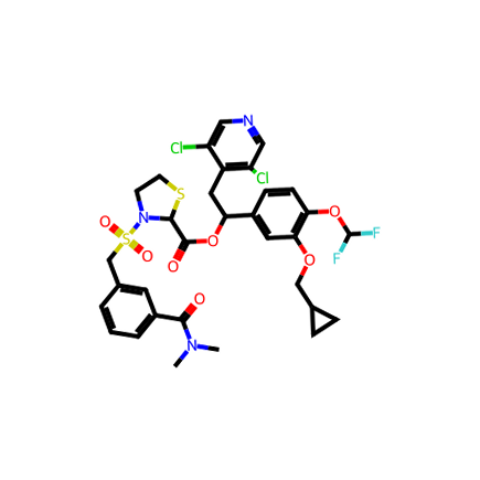 CN(C)C(=O)c1cccc(CS(=O)(=O)N2CCSC2C(=O)OC(Cc2c(Cl)cncc2Cl)c2ccc(OC(F)F)c(OCC3CC3)c2)c1